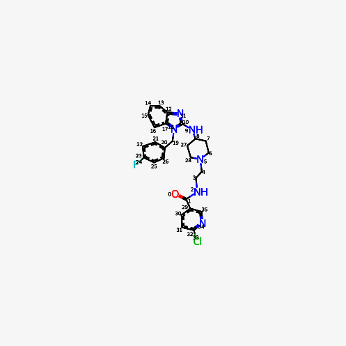 O=C(NCCN1CCC(Nc2nc3ccccc3n2Cc2ccc(F)cc2)CC1)c1ccc(Cl)nc1